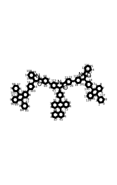 c1ccc(-c2c3ccccc3c(-c3ccc(-c4c5ccc(-c6ccc7c(c6)oc6c(-c8ccc(-c9c%10ccccc%10c(-c%10cccc%11ccccc%10%11)c%10ccccc9%10)cc8)c8ccc(-c9ccc%10c(c9)oc9c(-c%11ccc(-c%12ccc%13c(-c%14ccccc%14)c%14ccccc%14c(-c%14ccccc%14)c%13c%12)cc%11)c%11ccccc%11nc9%10)cc8nc67)cc5nc5c4oc4ccccc45)cc3)c3ccccc23)cc1